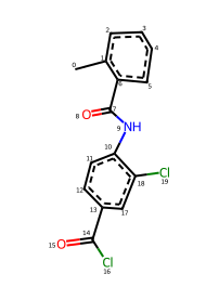 Cc1ccccc1C(=O)Nc1ccc(C(=O)Cl)cc1Cl